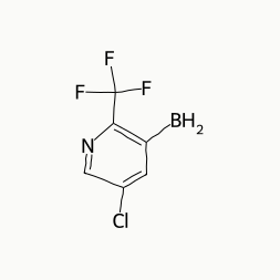 Bc1cc(Cl)cnc1C(F)(F)F